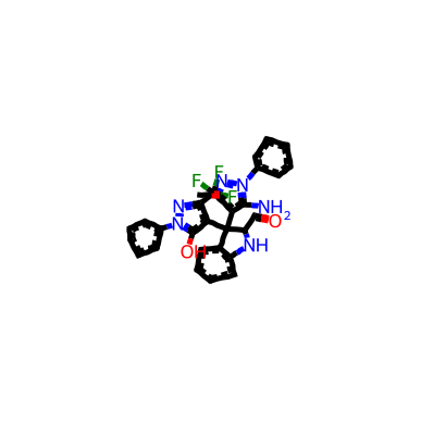 Cc1nn(-c2ccccc2)c(N)c1C1(c2c(C(F)(F)F)nn(-c3ccccc3)c2O)c2ccccc2NC1C=O